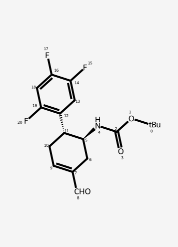 CC(C)(C)OC(=O)N[C@H]1CC(C=O)=CC[C@@H]1c1cc(F)c(F)cc1F